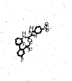 O=C(Nc1cccc(-c2ccc(F)cc2C(F)(F)F)c1)c1nc2cc([N+](=O)[O-])ccc2[nH]1